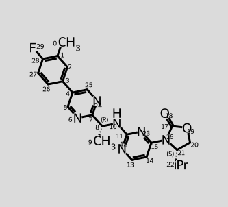 Cc1cc(-c2cnc([C@@H](C)Nc3nccc(N4C(=O)OC[C@@H]4C(C)C)n3)nc2)ccc1F